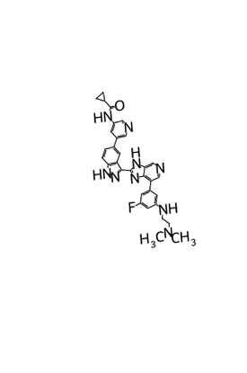 CN(C)CCNc1cc(F)cc(-c2cncc3[nH]c(-c4n[nH]c5ccc(-c6cncc(NC(=O)C7CC7)c6)cc45)nc23)c1